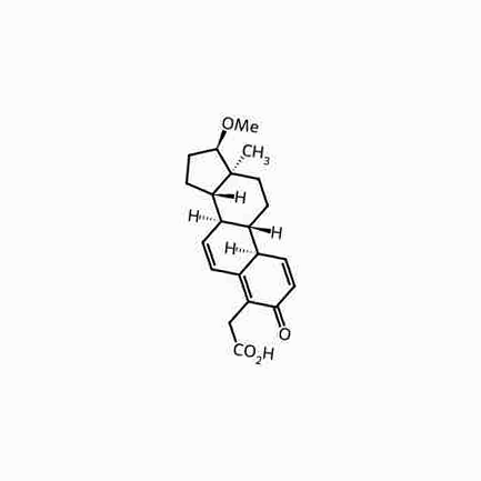 CO[C@@H]1CC[C@H]2[C@@H]3C=CC4=C(CC(=O)O)C(=O)C=C[C@@H]4[C@H]3CC[C@]12C